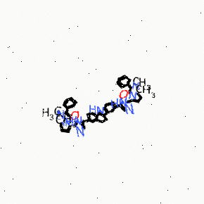 CN(C)[C@@H](C(=O)N1CCCC1c1ncc(-c2ccc3[nH]c4c(c3c2)CCc2cc(-c3cnc([C@@H]5CCCN5C(=O)[C@@H](c5ccccc5)N(C)C)[nH]3)ccc2-4)[nH]1)c1ccccc1